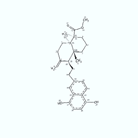 C=C1CC[C@@H]2[C@](C)(CCC[C@]2(C)C(=O)OC)[C@H]1CCc1ccc2c(O)ccc(O)c2c1